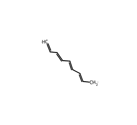 [CH]=C/C=C/C=C/C=C/[CH2]